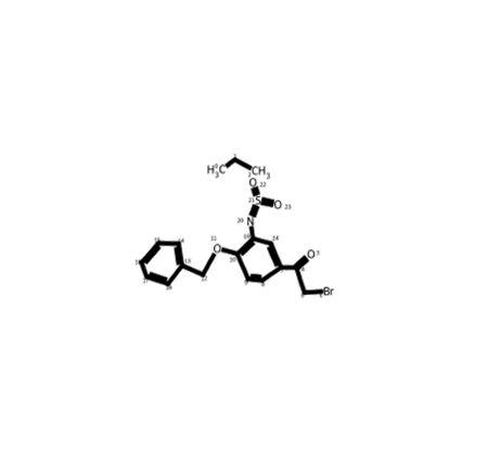 CCC.O=C(CBr)c1ccc(OCc2ccccc2)c(N=S(=O)=O)c1